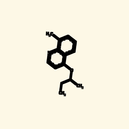 CCC(C)Oc1ccnc2c(C)cccc12